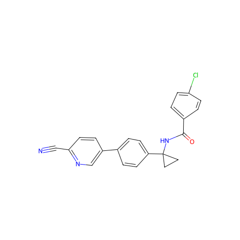 N#Cc1ccc(-c2ccc(C3(NC(=O)c4ccc(Cl)cc4)CC3)cc2)cn1